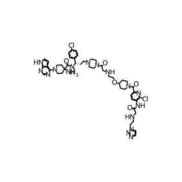 NC1(C(=O)N[C@@H](CCN2CCN(C(=O)CNCCOC3CCN(C(=O)c4ccc(NC(=O)CNCCn5ccnn5)c(Cl)n4)CC3)CC2)c2ccc(Cl)cc2)CCN(c2ncnc3[nH]ccc23)CC1